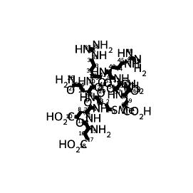 CSCC[C@H](NC(=O)[C@H](CCC(=O)O)NC(=O)[C@@H](N)CCC(=O)O)C(=O)N[C@@H](CCC(N)=O)C(=O)N[C@@H](CCCNC(=N)N)C(=O)N[C@@H](CCCNC(=N)N)C(=O)N[C@@H](C)C(=O)N[C@@H](CCC(=O)O)C(N)=O